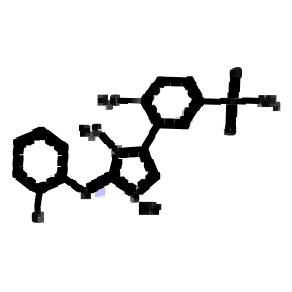 Br.Cc1ccc(S(N)(=O)=O)cc1-c1cs/c(=N/c2ccccc2Cl)n1C